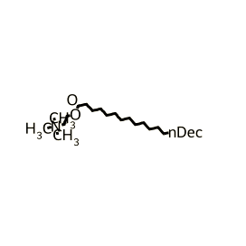 CCCCCCCCCCCCCCCCCCCCCCC(=O)OCC[N+](C)(C)C